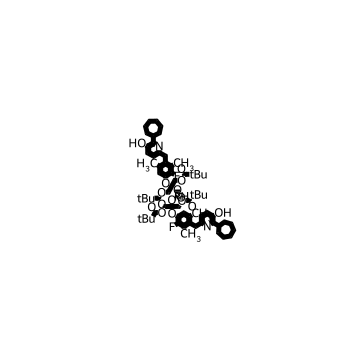 Cc1cc(OC(COC(=O)C(C)(C)C)(COC(=O)C(C)(C)C)O[PH](=O)OC(COC(=O)C(C)(C)C)(COC(=O)C(C)(C)C)Oc2cc(C)c(Cc3ccc(O)c(C4CCCCCC4)n3)c(C)c2F)c(F)c(C)c1Cc1ccc(O)c(C2CCCCCC2)n1